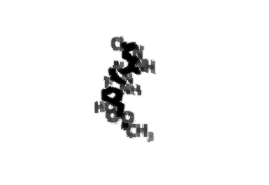 CCOC(=O)C[C@]1(O)CCCC(Nc2nc(-c3c[nH]c4ncc(Cl)cc34)ncc2F)C1